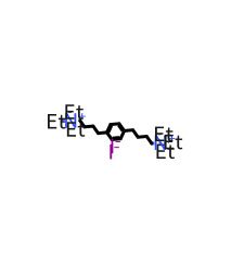 CC[N+](CC)(CC)CCCCc1ccc(CCCC[N+](CC)(CC)CC)cc1.[I-].[I-]